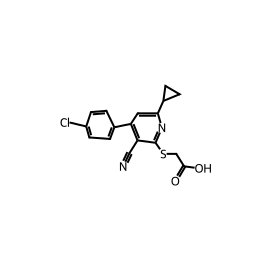 N#Cc1c(-c2ccc(Cl)cc2)cc(C2CC2)nc1SCC(=O)O